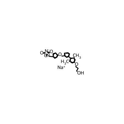 Cc1cc(OCCCO)cc(C)c1-c1cccc(COc2ccc(Cn3oc(=O)[n-]c3=O)cc2)c1.[Na+]